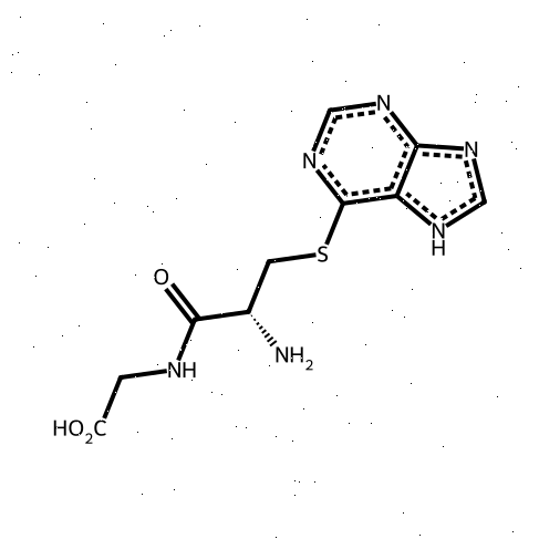 N[C@@H](CSc1ncnc2nc[nH]c12)C(=O)NCC(=O)O